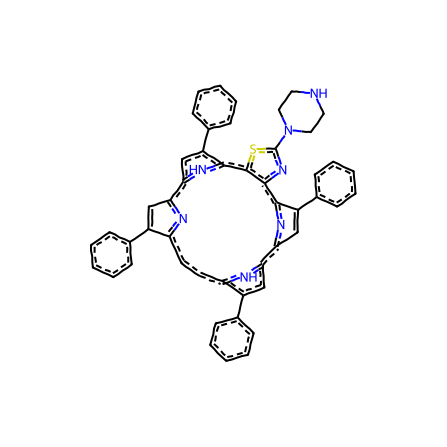 C1=C(c2ccccc2)c2ccc3[nH]c(cc3-c3ccccc3)c3nc(c4nc(N5CCNCC5)sc4c4[nH]c(cc4-c4ccccc4)c1n2)C(c1ccccc1)=C3